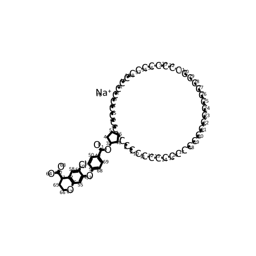 O=C(OC1CCC2(CCCCCCCCCCCCCCCCCCCCCCCCCCCCCCCCCCCCCCCCC2)C1)c1ccc(Oc2cc3c(cc2Cl)C(C(=O)[O-])CCO3)cc1.[Na+]